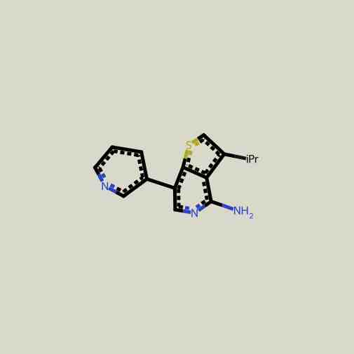 CC(C)c1csc2c(-c3cccnc3)cnc(N)c12